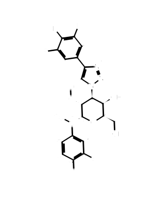 CCO[C@@H]1[C@@H](n2cc(-c3cc(F)c(F)c(F)c3)nn2)[C@@H](O)[C@@H](CO)O[C@@H]1[S+]([O-])c1ccc(Cl)c(Cl)c1